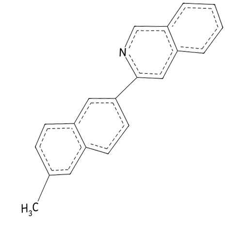 Cc1ccc2cc(-c3cc4ccccc4cn3)ccc2c1